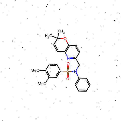 COc1ccc(S(=O)(=O)N(Cc2ccc3c(n2)C=CC(C)(C)O3)c2ccccc2)cc1OC